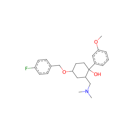 COc1cccc(C2(O)CCC(OCc3ccc(F)cc3)CC2CN(C)C)c1